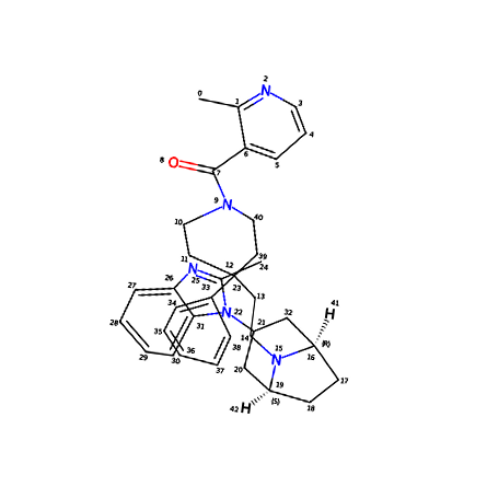 Cc1ncccc1C(=O)N1CCC(CCN2[C@@H]3CC[C@H]2CC(n2c(C)nc4ccccc42)C3)(c2ccccc2)CC1